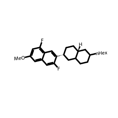 CCCCCCC1CCC2C[C@H](c3cc4c(F)cc(OC)cc4cc3F)CC[C@@H]2C1